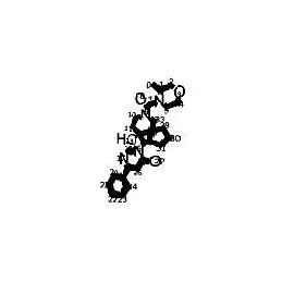 CC1COCCN1C(=O)N1CCC(O)(Cn2cnc(-c3ccccc3)cc2=O)C2(CCCC2)C1